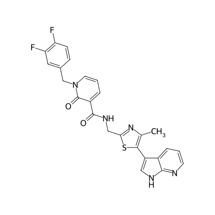 Cc1nc(CNC(=O)c2cccn(Cc3ccc(F)c(F)c3)c2=O)sc1-c1c[nH]c2ncccc12